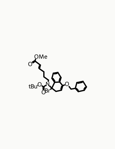 COC(=O)/C=C/CCCN(C(=O)OC(C)(C)C)C1(Br)CC=C(OCc2ccccc2)c2ccccc21